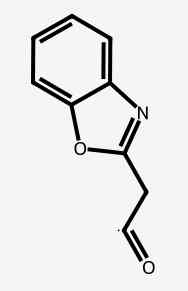 O=[C]Cc1nc2ccccc2o1